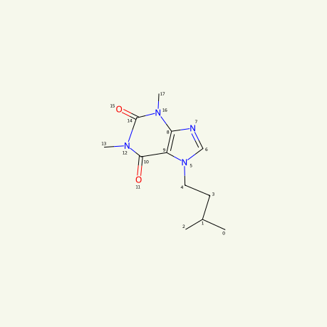 CC(C)CCn1cnc2c1c(=O)n(C)c(=O)n2C